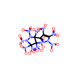 O=[N+]([O-])c1c(C2([N+](=O)[O-])N([N+](=O)[O-])N([N+](=O)[O-])C([N+](=O)[O-])([N+](=O)[O-])C2([N+](=O)[O-])[N+](=O)[O-])nn([N+](=O)[O-])c1[N+](=O)[O-]